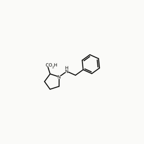 O=C(O)C1CCCN1NCc1ccccc1